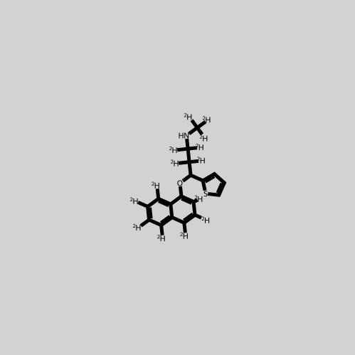 [2H]c1c([2H])c([2H])c2c(OC(c3cccs3)C([2H])([2H])C([2H])([2H])NC([2H])([2H])[2H])c([2H])c([2H])c([2H])c2c1[2H]